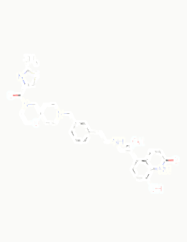 Cc1nc(C(=O)N2CCOC3(CCN(Cc4cccc(CCNC[C@H](O)c5ccc(O)c6[nH]c(=O)ccc56)c4)CC3)C2)cs1